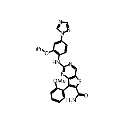 COc1ccccc1-c1c(C(N)=O)sc2cnc(Nc3ccc(-n4cncn4)cc3OC(C)C)nc12